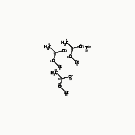 CCOC(C)[O-].CCOC(C)[O-].CCOC(C)[O-].[Y+3]